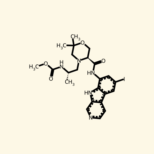 COC(=O)N[C@@H](C)CN1CC(C)(C)OC[C@H]1C(=O)Nc1cc(I)cc2c1[nH]c1cnccc12